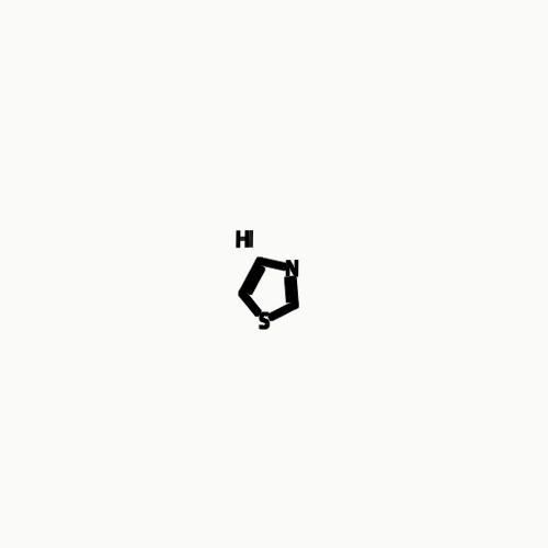 I.c1cscn1